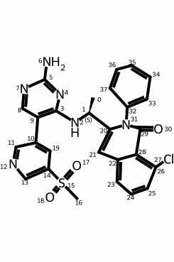 C[C@H](Nc1nc(N)ncc1-c1cncc(S(C)(=O)=O)c1)c1cc2cccc(Cl)c2c(=O)n1-c1ccccc1